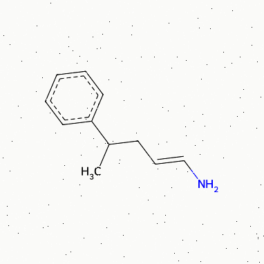 CC(CC=CN)c1ccccc1